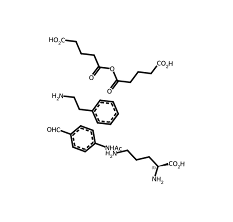 CC(=O)Nc1ccc(C=O)cc1.NCCC[C@H](N)C(=O)O.NCCc1ccccc1.O=C(O)CCCC(=O)OC(=O)CCCC(=O)O